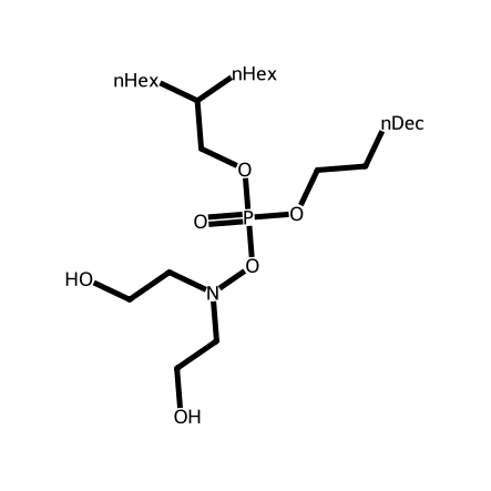 CCCCCCCCCCCCOP(=O)(OCC(CCCCCC)CCCCCC)ON(CCO)CCO